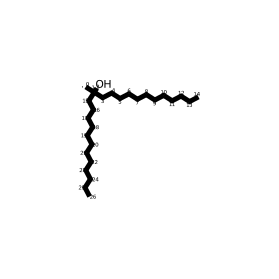 [CH2]C(O)(CCCCCCCCCCCC)CCCCCCCCCCCC